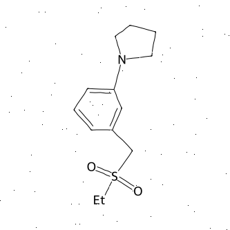 CCS(=O)(=O)Cc1cccc(N2CCCC2)c1